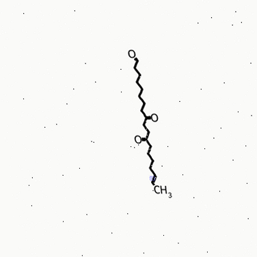 C/C=C/CCCCC(=O)CCC(=O)CCCCCCCC=O